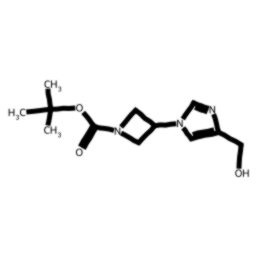 CC(C)(C)OC(=O)N1CC(n2cnc(CO)c2)C1